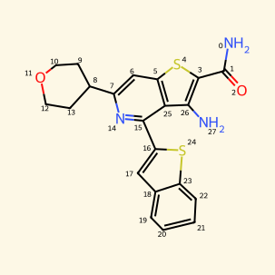 NC(=O)c1sc2cc(C3CCOCC3)nc(-c3cc4ccccc4s3)c2c1N